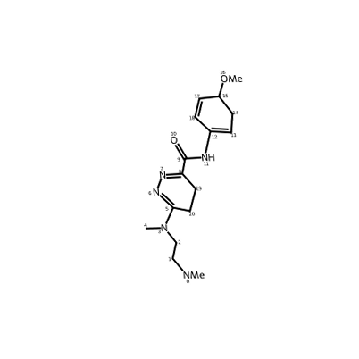 CNCCN(C)C1=NN=C(C(=O)NC2=CCC(OC)C=C2)CC1